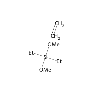 C=C.CC[Si](CC)(OC)OC